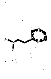 CC(=O)N(F)CCc1cnccn1